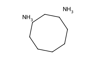 C1CCCCCCC1.N.N